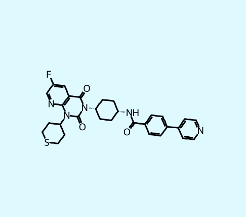 O=C(N[C@H]1CC[C@@H](n2c(=O)c3cc(F)cnc3n(C3CCSCC3)c2=O)CC1)c1ccc(-c2ccncc2)cc1